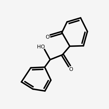 O=C1C=CC=CC1C(=O)C(O)c1ccccc1